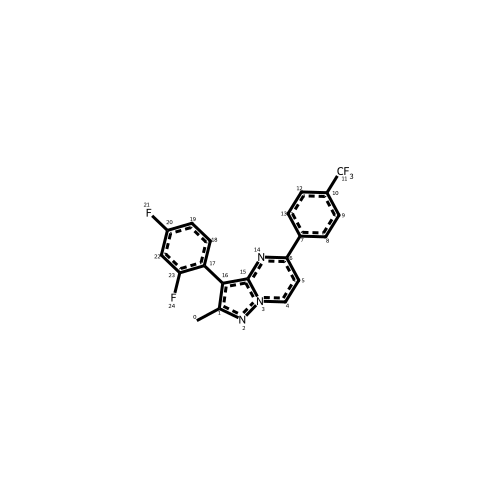 Cc1nn2ccc(-c3ccc(C(F)(F)F)cc3)nc2c1-c1ccc(F)cc1F